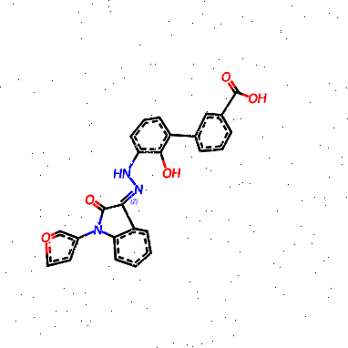 O=C(O)c1cccc(-c2cccc(N/N=C3\C(=O)N(c4ccoc4)c4ccccc43)c2O)c1